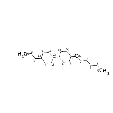 CCCCCO[C@H]1CC[C@H]([C@H]2CC[C@H](CCC)CC2)CC1